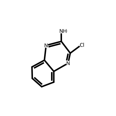 [NH]c1nc2ccccc2nc1Cl